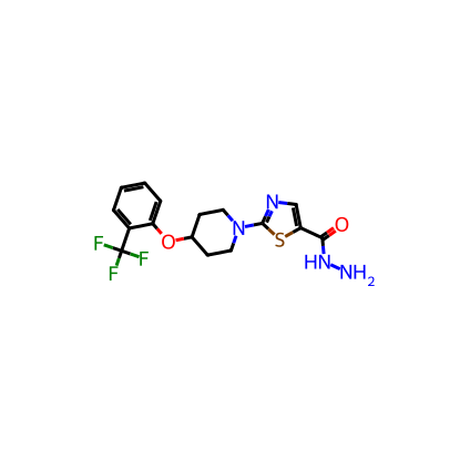 NNC(=O)c1cnc(N2CCC(Oc3ccccc3C(F)(F)F)CC2)s1